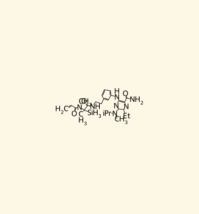 C=CC(=O)N(C)[C@@](C)([SiH3])C(=O)NCCc1cccc(Nc2nc(N(C)C(C)C)c(CC)nc2C(N)=O)c1